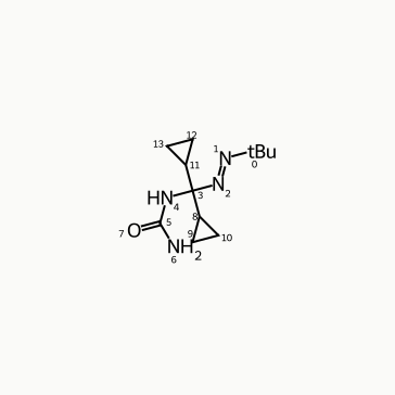 CC(C)(C)N=NC(NC(N)=O)(C1CC1)C1CC1